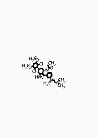 C=CC(=O)Nc1ccc(N(C)CCN(C)C)cc1-c1n[nH]c2c1CC[C@H](c1c(Cl)c(OC)cc(OC)c1Cl)C2